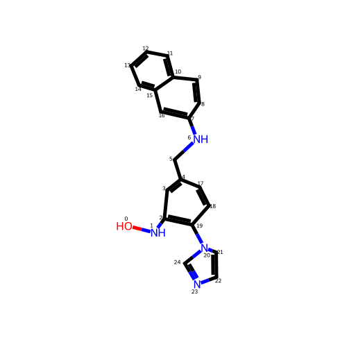 ONc1cc(CNc2ccc3ccccc3c2)ccc1-n1ccnc1